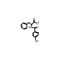 COC(=O)C(Cc1ccccc1)NC(=O)c1ccc(S)cc1